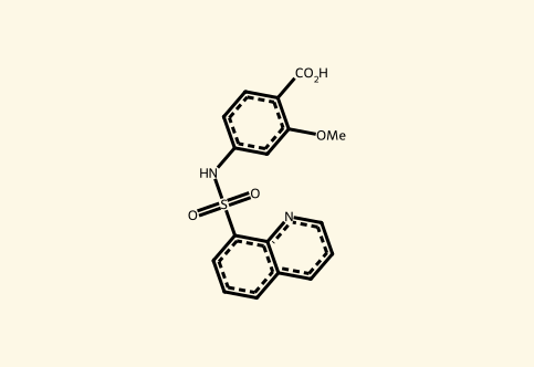 COc1cc(NS(=O)(=O)c2cccc3cccnc23)ccc1C(=O)O